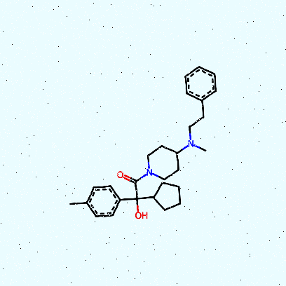 Cc1ccc(C(O)(C(=O)N2CCC(N(C)CCc3ccccc3)CC2)C2CCCC2)cc1